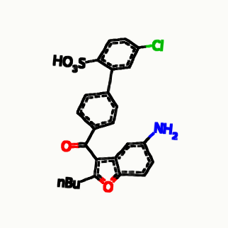 CCCCc1oc2ccc(N)cc2c1C(=O)c1ccc(-c2cc(Cl)ccc2S(=O)(=O)O)cc1